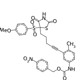 COc1ccc(S(=O)(=O)C2(CCCC#Cc3cc(NC(=O)OCc4ccc([N+](=O)[O-])cc4)ccc3C)SC(=O)NC2=O)cc1